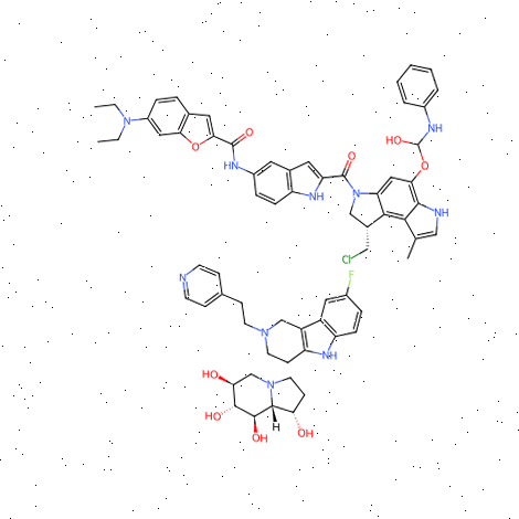 CCN(CC)c1ccc2cc(C(=O)Nc3ccc4[nH]c(C(=O)N5C[C@@H](CCl)c6c5cc(OC(O)Nc5ccccc5)c5[nH]cc(C)c65)cc4c3)oc2c1.Fc1ccc2[nH]c3c(c2c1)CN(CCc1ccncc1)CC3.O[C@H]1[C@H](O)[C@@H](O)CN2CC[C@H](O)[C@H]12